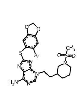 CS(=O)(=O)N1CCCC(CCn2cnc(N)c3nc(Sc4cc5c(cc4Br)OCO5)nc2-3)C1